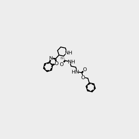 O=C(NCCNC(=O)[C@H]1NCCCC1c1nc2ccccc2o1)OCc1ccccc1